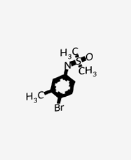 Cc1cc(N=S(C)(C)=O)ccc1Br